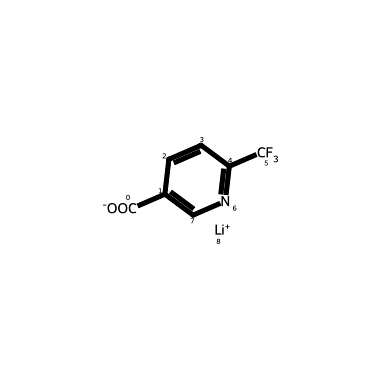 O=C([O-])c1ccc(C(F)(F)F)nc1.[Li+]